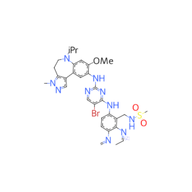 C=Nc1ccc(Nc2nc(Nc3cc4c(cc3OC)N(C(C)C)CCc3c-4cnn3C)ncc2Br)c(CNS(C)(=O)=O)c1/N=C\C